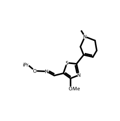 COc1nc(C2=CCCN(C)C2)sc1/C=N/OC(C)C